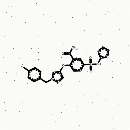 NC(=O)c1cc(S(=O)(=O)Nc2nccs2)ccc1Oc1cnn(Cc2ccc(Cl)cc2)c1